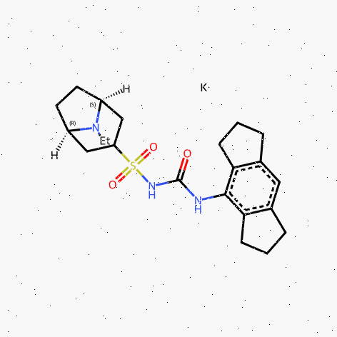 CCN1[C@@H]2CC[C@H]1CC(S(=O)(=O)NC(=O)Nc1c3c(cc4c1CCC4)CCC3)C2.[K]